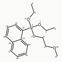 CCO[Si](OCC)(OCCOC)c1cccc2ccccc12